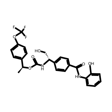 C[C@H](OC(=O)N[C@H](CO)c1ccc(C(=O)Nc2ccccc2O)cc1)c1ccc(OC(F)(F)F)cc1